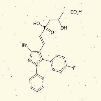 CC(C)c1nn(-c2ccccc2)c(-c2ccc(F)cc2)c1/C=C/P(=O)(O)CC(O)CC(=O)O